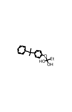 [CH2]CC(O)(O)Oc1ccc(C(C)(C)c2ccccc2)cc1